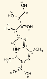 CCN(/N=C(/C)c1nc([C@@H](O)[C@H](O)[C@H](O)CO)c[nH]1)C(=O)O